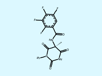 CC(C)N1C(=O)NC(=O)[C@](C)(NC(=O)c2cc(F)c(F)c(F)c2F)C1=O